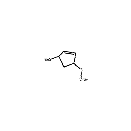 COSC1C=CC(SC)C1